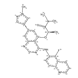 C[C@@H](Oc1cc(-c2cnn(C)c2)cc2ncnc(Nc3ccc4ncccc4c3F)c12)C(=O)N(C)C